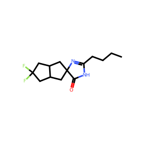 CCCCC1=NC2(CC3CC(F)(F)CC3C2)C(=O)N1